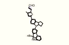 CCCCC1(CCCC)c2ccccc2-c2cc(N3c4ccc(-c5cc(C)c(/C=C/C=O)s5)cc4C4CCCC43)ccc21